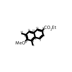 CCOC(=O)c1ccc2c(C)c(OC)c(C)cc2c1